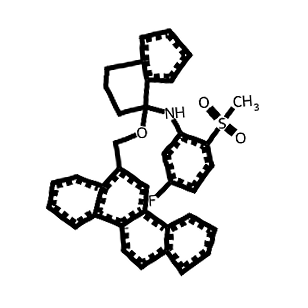 CS(=O)(=O)c1ccc(F)cc1NC1(OCc2cc3c4ccccc4ccc3c3ccccc23)CCCc2ccccc21